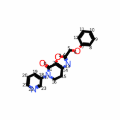 O=C1c2oc(COc3ccccc3)nc2CCN1c1cccnc1